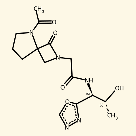 CC(=O)N1CCCC12CN(CC(=O)N[C@H](c1nnco1)[C@@H](C)O)C2=O